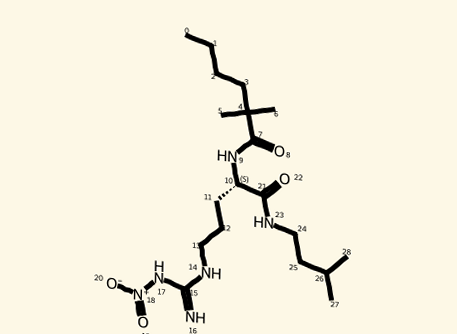 CCCCC(C)(C)C(=O)N[C@@H](CCCNC(=N)N[N+](=O)[O-])C(=O)NCCC(C)C